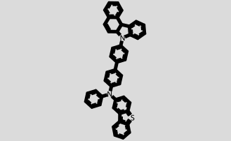 C1=CC2C(c3ccccc31)c1ccccc1N2c1ccc(-c2ccc(N(c3ccccc3)c3ccc4sc5ccccc5c4c3)cc2)cc1